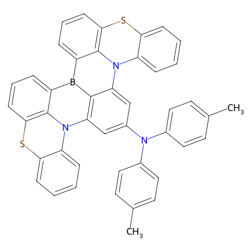 Cc1ccc(N(c2ccc(C)cc2)c2cc3c4c(c2)N2c5ccccc5Sc5cccc(c52)B4c2cccc4c2N3c2ccccc2S4)cc1